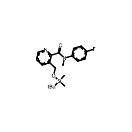 CN(C(=O)c1ncccc1CO[Si](C)(C)C(C)(C)C)c1ccc(F)cc1